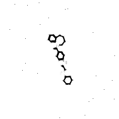 O=C(CNC1CCCCC1)Nc1ccc(C(=O)N2CCCCc3ccccc32)cc1